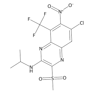 CC(C)Nc1nc2c(C(F)(F)F)c([N+](=O)[O-])c(Cl)cc2nc1S(C)(=O)=O